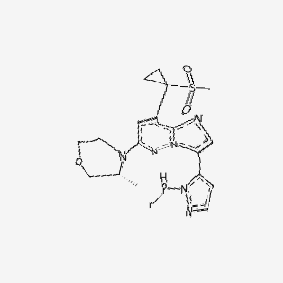 C[C@@H]1COCCN1c1cc(C2(S(C)(=O)=O)CC2)c2ncc(-c3ccnn3PI)n2n1